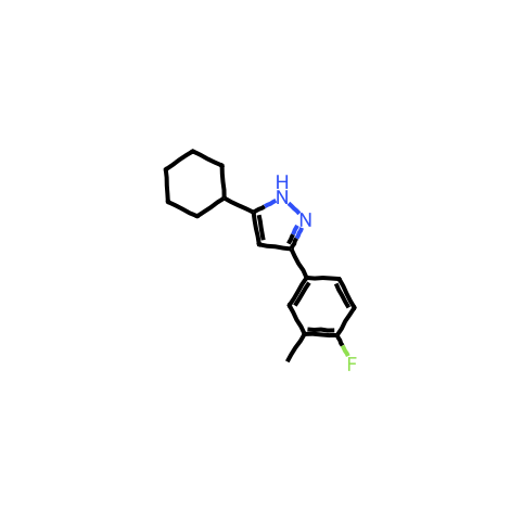 Cc1cc(-c2cc(C3CCCCC3)[nH]n2)ccc1F